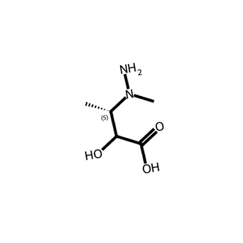 C[C@@H](C(O)C(=O)O)N(C)N